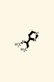 C=N/C(=C\C)c1ccncn1